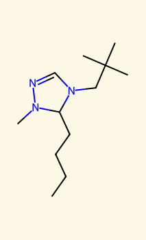 CCCCC1N(CC(C)(C)C)C=NN1C